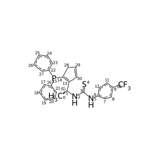 C[C@H](NC(=S)Nc1ccc(C(F)(F)F)cc1)C1=C(P(c2ccccc2)c2ccccc2)CC=C1